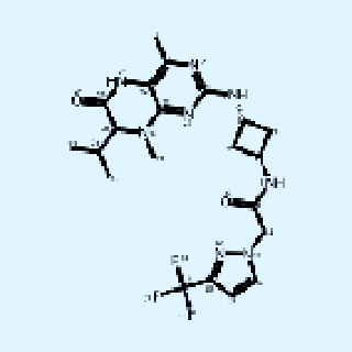 Cc1nc(N[C@H]2C[C@H](NC(=O)Cn3ccc(C(F)(F)F)n3)C2)nc2c1NC(=O)C(C(C)C)N2C